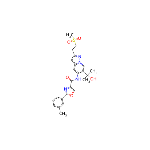 Cc1cccc(-c2nc(C(=O)Nc3cc4cc(CCS(C)(=O)=O)nn4cc3C(C)(C)O)co2)c1